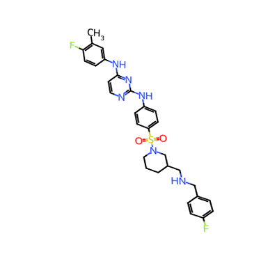 Cc1cc(Nc2ccnc(Nc3ccc(S(=O)(=O)N4CCCC(CNCc5ccc(F)cc5)C4)cc3)n2)ccc1F